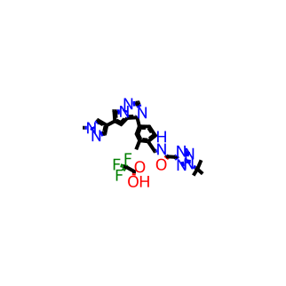 Cc1cc(-c2ncnn3cc(-c4cnn(C)c4)cc23)ccc1CNC(=O)c1nnn(C(C)(C)C)n1.O=C(O)C(F)(F)F